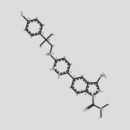 CN(C)C(=O)n1nc(N)c2cc(-c3ccc(NCC(C)(C)c4ccc(F)cc4)nn3)ccc21